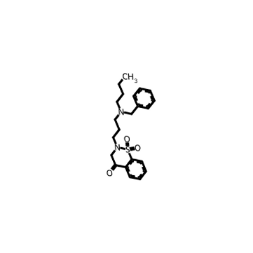 CCCCN(CCCN1CC(=O)c2ccccc2S1(=O)=O)Cc1ccccc1